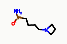 N[S+]([O-])CCCCN1CCC1